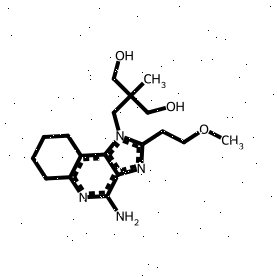 COCCc1nc2c(N)nc3c(c2n1CC(C)(CO)CO)CCCC3